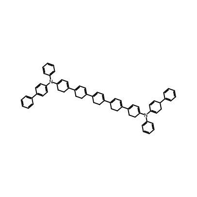 C1=CC(c2ccccc2)CC=C1N(C1=CC=C(C2=CC=C(C3=CC=C(C4=CC=C(C5=CC=C(N(c6ccccc6)c6ccc(-c7ccccc7)cc6)CC5)CC4)CC3)CC2)CC1)c1ccccc1